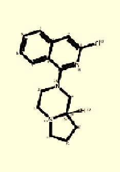 Clc1cc2ccccc2c(N2CCN3CCC[C@H]3C2)n1